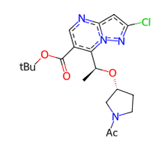 CC(=O)N1CC[C@@H](O[C@@H](C)c2c(C(=O)OC(C)(C)C)cnc3cc(Cl)nn23)C1